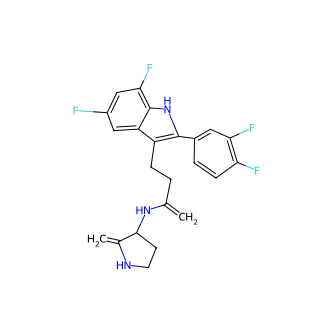 C=C(CCc1c(-c2ccc(F)c(F)c2)[nH]c2c(F)cc(F)cc12)NC1CCNC1=C